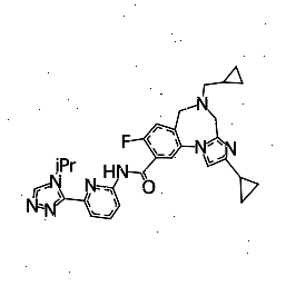 CC(C)n1cnnc1-c1cccc(NC(=O)c2cc3c(cc2F)CN(CC2CC2)Cc2nc(C4CC4)cn2-3)n1